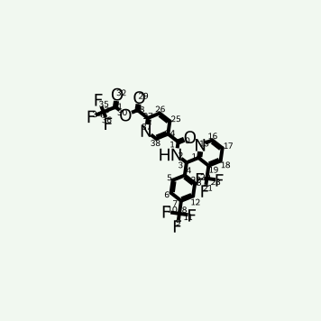 O=C(NC(c1ccc(C(F)(F)F)cc1)c1ncccc1C(F)(F)F)c1ccc(C(=O)OC(=O)C(F)(F)F)nc1